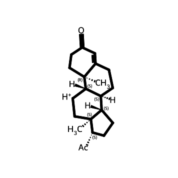 CC(=O)[C@H]1CC[C@H]2[C@@H]3CCC4=CC(=O)CC[C@]4(C)[C@H]3CC[C@]12C.[H+]